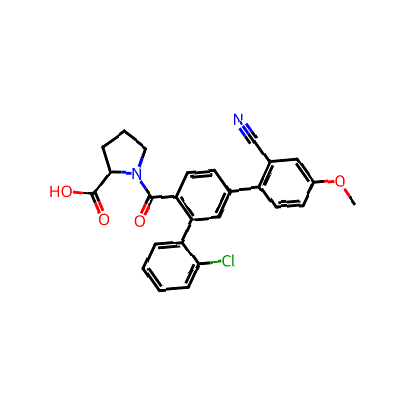 COc1ccc(-c2ccc(C(=O)N3CCCC3C(=O)O)c(-c3ccccc3Cl)c2)c(C#N)c1